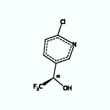 O[C@H](c1ccc(Cl)nc1)C(F)(F)F